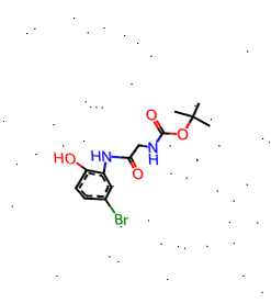 CC(C)(C)OC(=O)NCC(=O)Nc1cc(Br)ccc1O